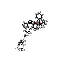 CN(C(=O)N1C2CC1CN(c1ccc(-c3cc(OCCCN4C5CCC4COC5)cn4ncc(C#N)c34)cn1)C2)c1ccccc1